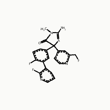 CN1C(=O)C(c2ccnc(CF)c2)(c2ccc(F)c(-c3cccnc3F)c2)N=C1N